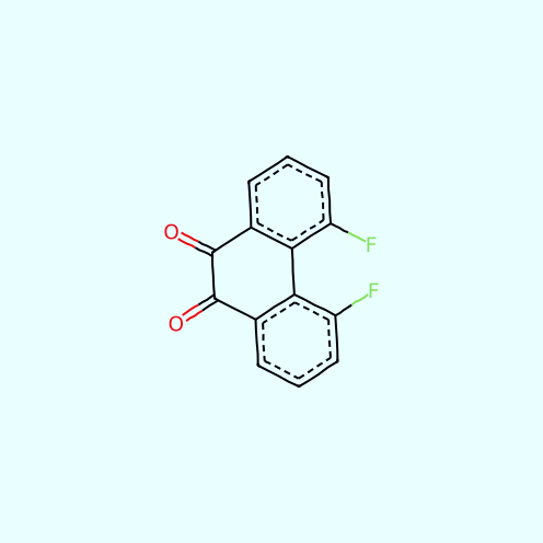 O=C1C(=O)c2cccc(F)c2-c2c(F)cccc21